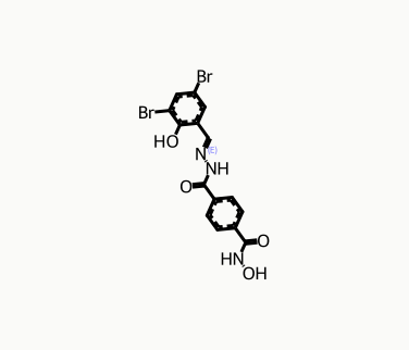 O=C(NO)c1ccc(C(=O)N/N=C/c2cc(Br)cc(Br)c2O)cc1